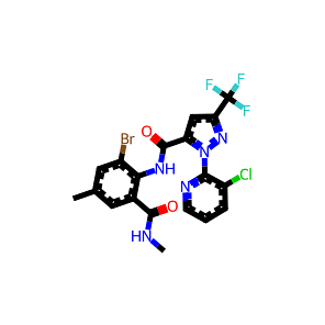 CNC(=O)c1cc(C)cc(Br)c1NC(=O)c1cc(C(F)(F)F)nn1-c1ncccc1Cl